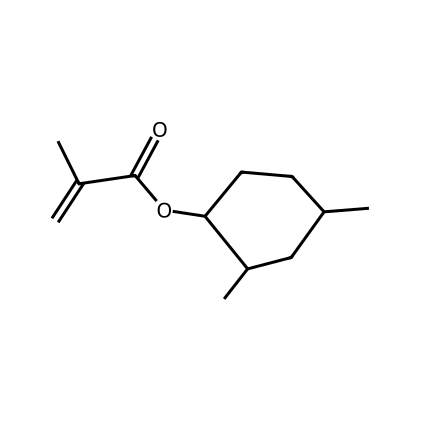 C=C(C)C(=O)OC1CCC(C)CC1C